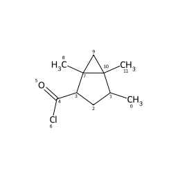 CC1CC(C(=O)Cl)C2(C)CC12C